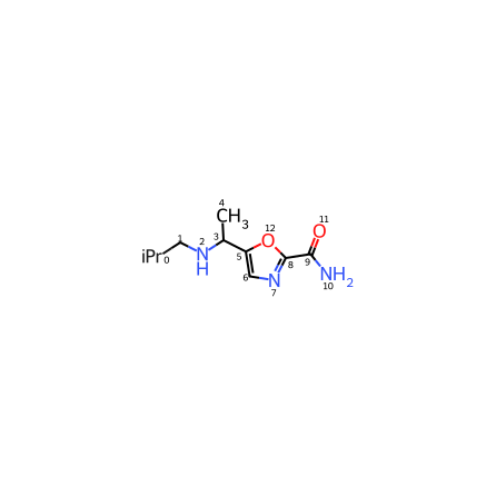 CC(C)CNC(C)c1cnc(C(N)=O)o1